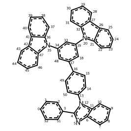 c1ccc(-c2nc3ccccc3n2-c2ccc(-c3cc(-n4c5ccccc5c5ccccc54)cc(-n4c5ccccc5c5ccccc54)c3)cc2)cc1